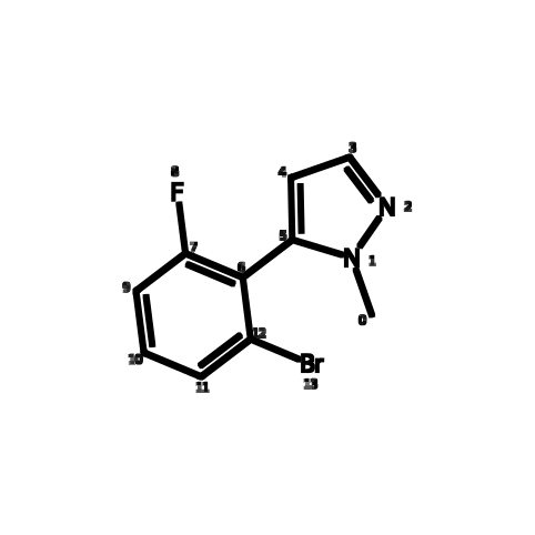 Cn1nccc1-c1c(F)cccc1Br